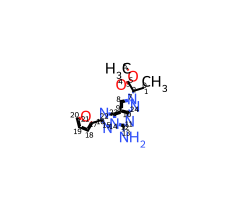 CCC(C(=O)OC)n1cc2c(nc(N)n3nc(-c4ccco4)nc23)n1